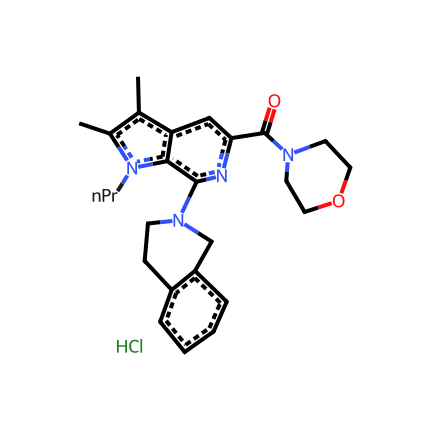 CCCn1c(C)c(C)c2cc(C(=O)N3CCOCC3)nc(N3CCc4ccccc4C3)c21.Cl